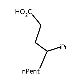 CCCCCC(CCC(=O)O)C(C)C